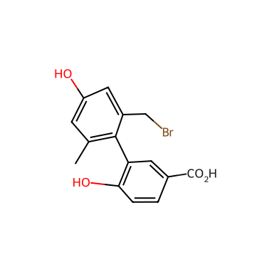 Cc1cc(O)cc(CBr)c1-c1cc(C(=O)O)ccc1O